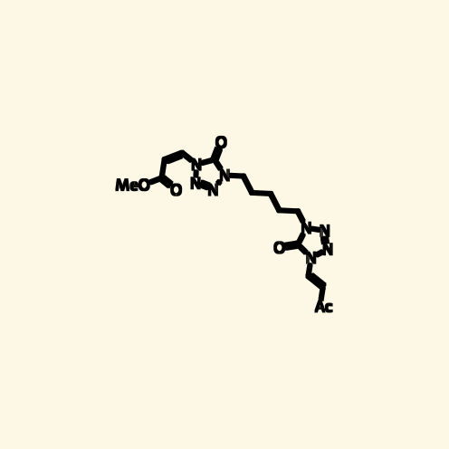 COC(=O)/C=C\n1nnn(CCCCCn2nnn(/C=C/C(C)=O)c2=O)c1=O